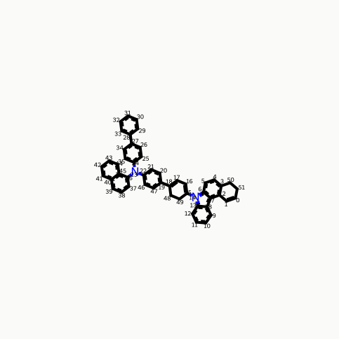 C1=Cc2c(ccc3c2c2ccccc2n3C2=CC=C(c3ccc(N(c4ccc(-c5ccccc5)cc4)c4cccc5ccccc45)cc3)CC2)CC1